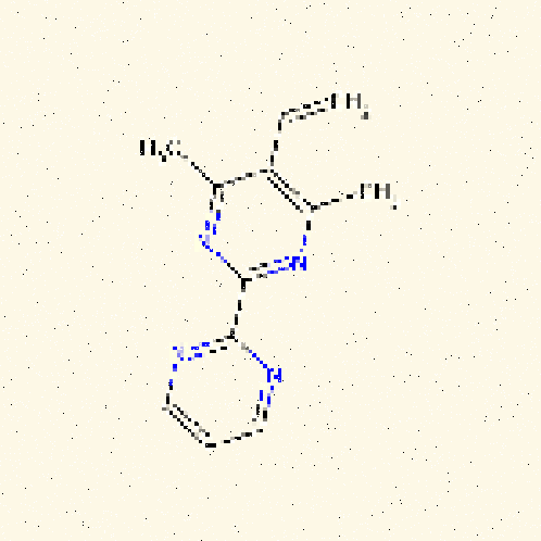 C=Cc1c(C)nc(-c2ncccn2)nc1C